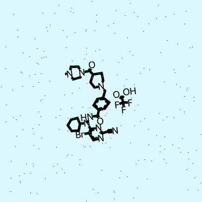 CN1CCN(C(=O)C2CCN(Cc3ccc(C(=O)NN(c4nc(C#N)ncc4Br)C4CCCCC4)cc3)CC2)CC1.O=C(O)C(F)(F)F